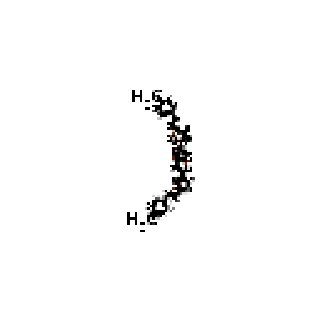 Cc1ccc(C=Cc2ccc(-c3cc4sc(-c5ccc(C=Cc6ccc(C)cc6)s5)cc4s3)s2)cc1